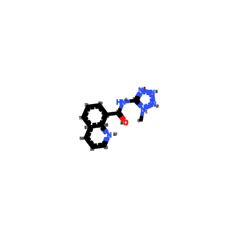 Cn1nnnc1NC(=O)c1cccc2cccnc12